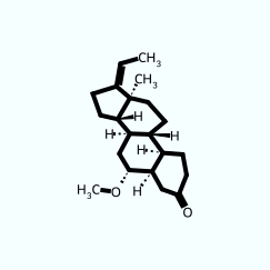 C/C=C1/CC[C@H]2[C@@H]3C[C@@H](OC)[C@@H]4CC(=O)CC[C@@H]4[C@H]3CC[C@]12C